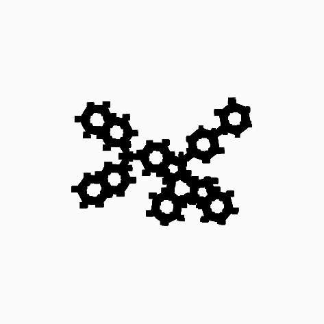 c1ccc(-c2ccc(-n3c4ccc(N(c5ccc6ccccc6c5)c5ccc6ccccc6c5)cc4c4c5ccccc5c5c6ccccc6sc5c43)cc2)cc1